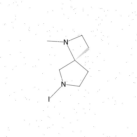 CN1CC[C@@]12CCN(I)C2